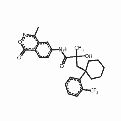 Cc1noc(=O)c2ccc(NC(=O)C(O)(CC3(c4ccccc4C(F)(F)F)CCCCC3)C(F)(F)F)cc12